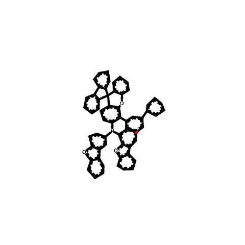 c1ccc(-c2cccc(-c3c(N(c4ccc5oc6ccccc6c5c4)c4cccc5c4oc4ccccc45)ccc4c3Oc3ccccc3C43c4ccccc4-c4ccccc43)c2)cc1